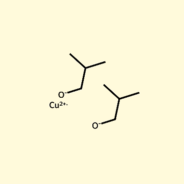 CC(C)C[O-].CC(C)C[O-].[Cu+2]